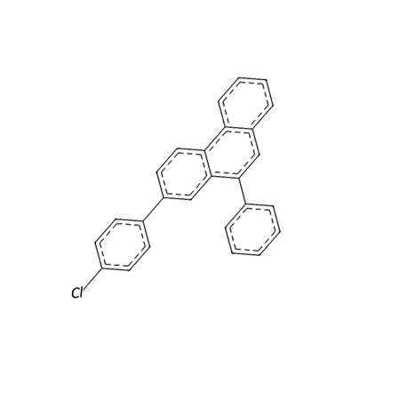 Clc1ccc(-c2ccc3c(c2)c(-c2ccccc2)cc2ccccc23)cc1